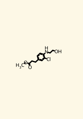 COC(=O)CCc1ccc(NCCO)c(Cl)c1